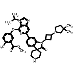 COC(=O)c1cc(Oc2nc(-c3ccc4c(c3)N(C3CC(N5CCC(C)(C)C5)C3)C(=O)C43CCNCC3)cc3ncn(C(C)C)c23)ccc1C